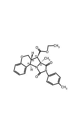 CCOC(=O)[C@@H]1[C@H]2COc3ccccc3[C@@H]2N2C(=O)N(c3ccc(C)cc3)C(=O)[C@]12C